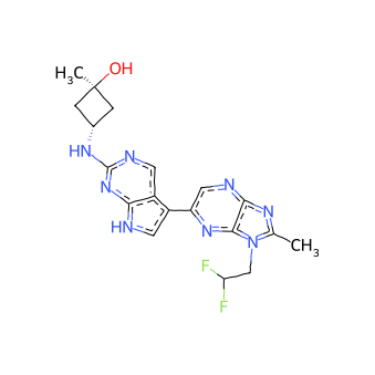 Cc1nc2ncc(-c3c[nH]c4nc(N[C@H]5C[C@](C)(O)C5)ncc34)nc2n1CC(F)F